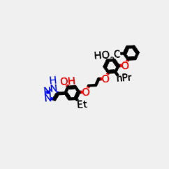 CCCc1c(OCCCOc2cc(O)c(-c3cnn[nH]3)cc2CC)cccc1Oc1ccccc1C(=O)O